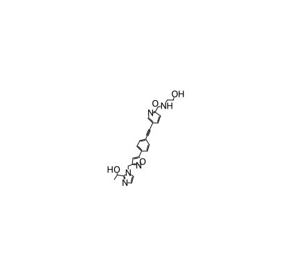 CC(O)c1nccn1Cc1cc(-c2ccc(C#Cc3ccc(C(=O)NCCO)nc3)cc2)on1